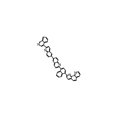 c1ccc2c(-c3ccc4cc(-c5ccc6nc(-c7ccc(-c8ccc9ccc%10cccnc%10c9n8)c8ccccc78)ccc6c5)ccc4n3)cncc2c1